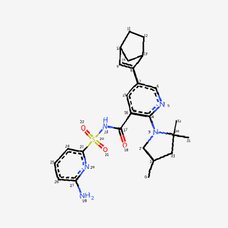 CC1CN(c2ncc(C3=CC4CCC3C4)cc2C(=O)NS(=O)(=O)c2cccc(N)n2)C(C)(C)C1